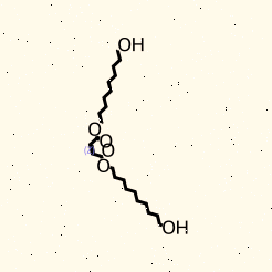 O=C(/C=C\C(=O)OCCCCCCCCCCO)OCCCCCCCCCCO